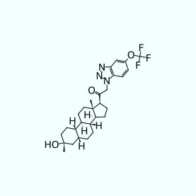 C[C@@]1(O)CC[C@H]2[C@H](CC[C@@H]3[C@@H]2CC[C@]2(C)[C@@H](C(=O)Cn4nnc5cc(OC(F)(F)F)ccc54)CC[C@@H]32)C1